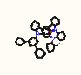 Cc1ccccc1N(c1ccc2c3ccccc3n(-c3cc(C4=CCCC=C4)cc(-c4ccccc4)c3)c2c1)c1ccccc1-n1c2ccccc2c2ccccc21